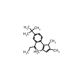 CCC(=O)c1cc(C(C)(C)C)ccc1C1=C(C)C=C(C)C1C